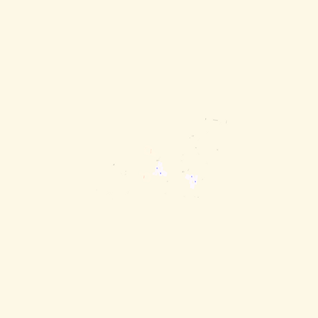 O=Cc1cccc(-c2cc(=O)n(OCc3ccccc3)c3cccnc23)c1